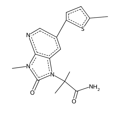 Cc1ccc(-c2cnc3c(c2)n(C(C)(C)C(N)=O)c(=O)n3C)s1